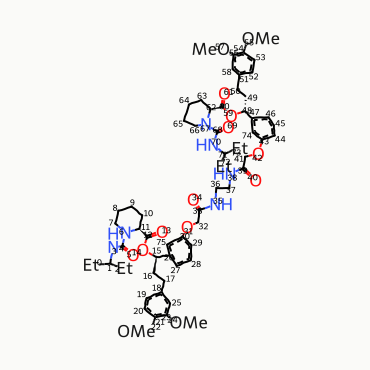 CCC(CC)NC(=O)N1CCCC[C@H]1C(=O)O[C@H](CCc1ccc(OC)c(OC)c1)c1cccc(OCC(=O)NCCNC(=O)COc2cccc([C@@H](CCc3ccc(OC)c(OC)c3)OC(=O)[C@@H]3CCCCN3C(=O)NC(CC)CC)c2)c1